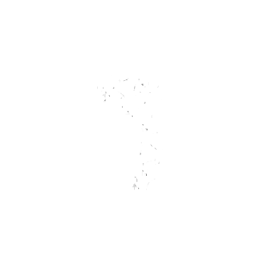 Cc1c(C)c([N+](=O)[O-])c(CN2CCN(Cc3ccc(-n4ccnc4)cc3)CC2)c2c1OC(C)(C)C2